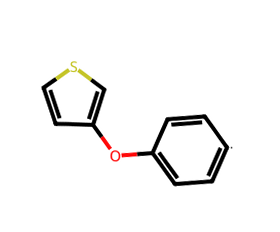 [c]1ccc(Oc2ccsc2)cc1